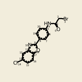 O=C(CBr)Nc1ccc(-c2nc3cc(Cl)ccc3o2)cc1